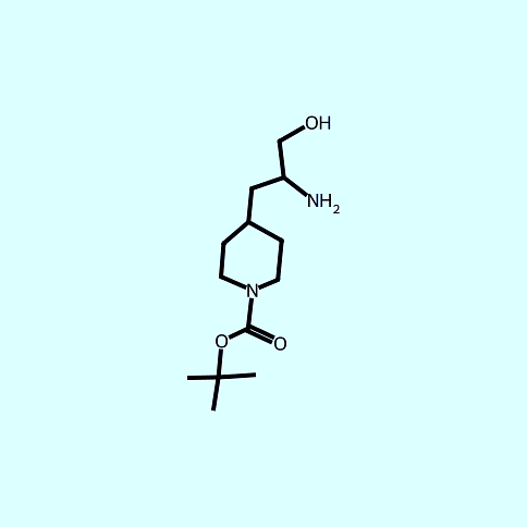 CC(C)(C)OC(=O)N1CCC(CC(N)CO)CC1